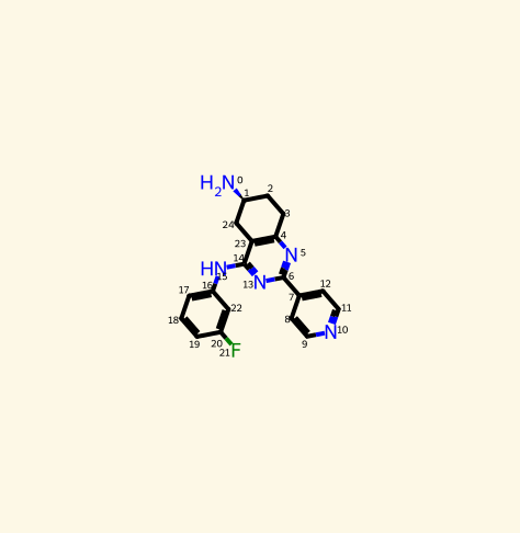 N[C@H]1CCc2nc(-c3ccncc3)nc(Nc3cccc(F)c3)c2C1